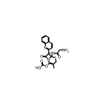 CC1=C(OC(=O)O)N2C(=O)C(c3ccc4ccccc4n3)C2(NC(=O)CN)SC1